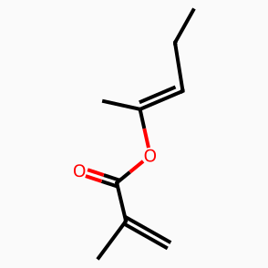 C=C(C)C(=O)O/C(C)=C/CC